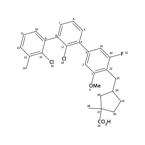 COc1cc(-c2cccc(-c3cccc(C)c3Cl)c2Cl)cc(F)c1CC1CCC(C)(C(=O)O)C1